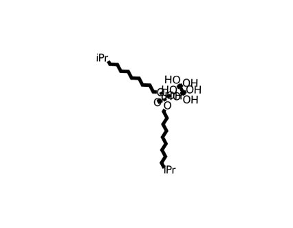 CC(C)CCCCCCCCCOP(=O)(O)OCCCCCCCCCC(C)C.OC(O)(O)C(O)(O)O